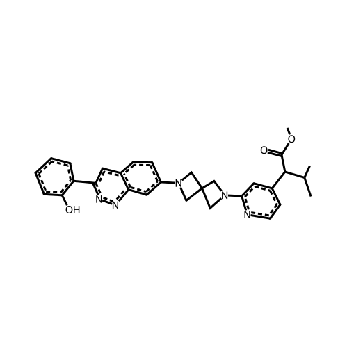 COC(=O)C(c1ccnc(N2CC3(CN(c4ccc5cc(-c6ccccc6O)nnc5c4)C3)C2)c1)C(C)C